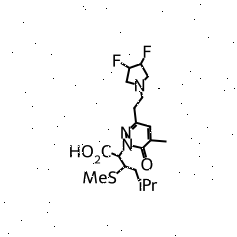 CSC(CC(C)C)C(C(=O)O)n1nc(CCN2CC(F)C(F)C2)cc(C)c1=O